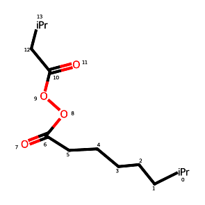 CC(C)CCCCCC(=O)OOC(=O)CC(C)C